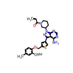 C=CC(=O)N1CCCC(n2nc(-c3csc(COc4ccc(C)cc4OC)c3)c3c(N)ncnc32)C1